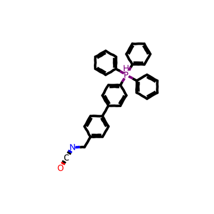 O=C=NCc1ccc(-c2ccc([PH](c3ccccc3)(c3ccccc3)c3ccccc3)cc2)cc1